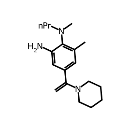 C=C(c1cc(C)c(N(C)CCC)c(N)c1)N1CCCCC1